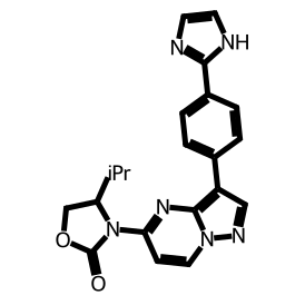 CC(C)C1COC(=O)N1c1ccn2ncc(-c3ccc(-c4ncc[nH]4)cc3)c2n1